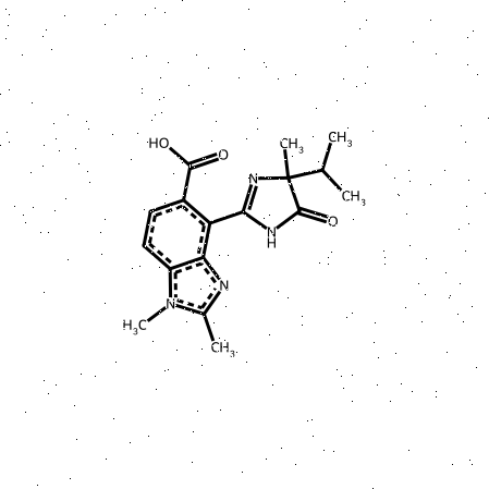 Cc1nc2c(C3=NC(C)(C(C)C)C(=O)N3)c(C(=O)O)ccc2n1C